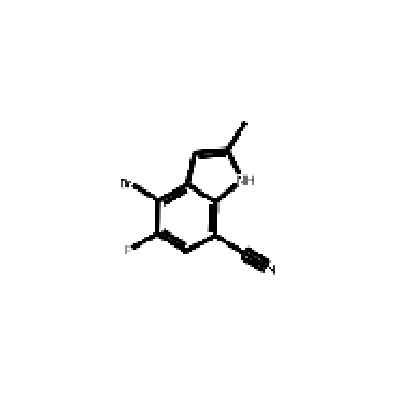 Cc1cc2c(Br)c(F)cc(C#N)c2[nH]1